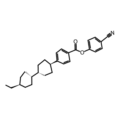 CC[C@H]1CC[C@H]([C@H]2CC[C@H](c3ccc(C(=O)Oc4ccc(C#N)cc4)cc3)CC2)CC1